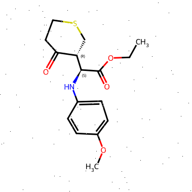 CCOC(=O)[C@@H](Nc1ccc(OC)cc1)[C@H]1CSCCC1=O